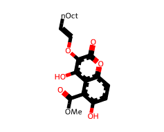 CCCCCCCCC=COc1c(O)c2c(C(=O)OC)c(O)ccc2oc1=O